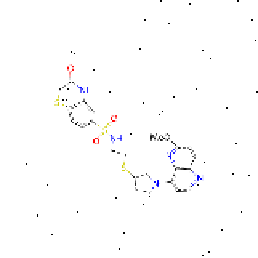 COc1ccc2nccc(N3CCC(SCCNS(=O)(=O)c4ccc5c(c4)NC(=O)CS5)C3)c2n1